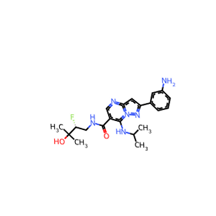 CC(C)Nc1c(C(=O)NC[C@@H](F)C(C)(C)O)cnc2cc(-c3cccc(N)c3)nn12